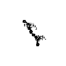 CC(C)[C@H](NC(=O)OCc1ccccc1)c1ncc(-c2ccc(-c3ccc(-c4cnc([C@@H](NC(=O)OCc5ccccc5)C(C)C)o4)cc3)cc2)o1